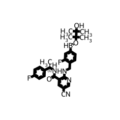 C[C@H](NC(=O)c1cc(C#N)cnc1NCc1ccc(BOC(C)(C)C(C)(C)O)cc1F)c1ccc(F)cc1